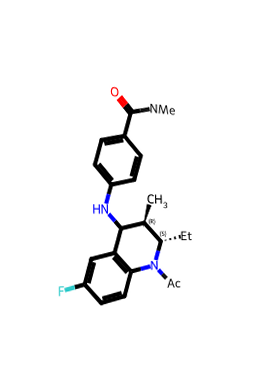 CC[C@H]1[C@H](C)C(Nc2ccc(C(=O)NC)cc2)c2cc(F)ccc2N1C(C)=O